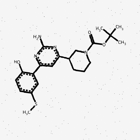 CSc1ccc(O)c(-c2cc(C3CCCN(C(=O)OC(C)(C)C)C3)nc(N)n2)c1